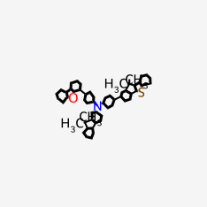 CC1(C)c2ccccc2-c2ccc(N(c3ccc(-c4ccc5c(c4)C(C)(C)c4c-5sc5ccccc45)cc3)c3ccc(-c4cccc5c4oc4ccccc45)cc3)cc21